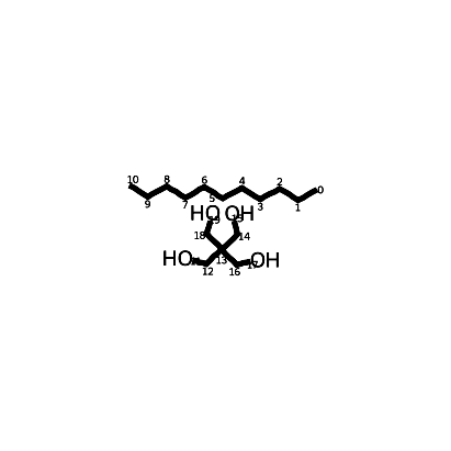 CCCCCCCCCCC.OCC(CO)(CO)CO